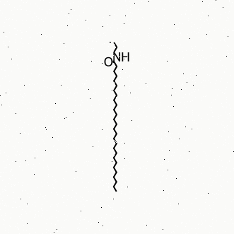 [CH2]CCNC(=O)CCCCCCCCCCCCCCCCCCCCCCCCCCC